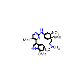 CNC1(CCN(C)C)C=CC(Nc2ncc(OC)c(-c3c[nH]c4c(OC)cccc34)n2)=CC1[N+](=O)[O-]